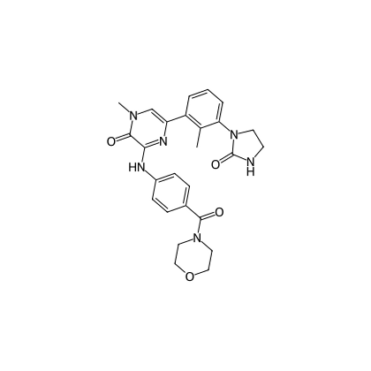 Cc1c(-c2cn(C)c(=O)c(Nc3ccc(C(=O)N4CCOCC4)cc3)n2)cccc1N1CCNC1=O